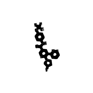 O=C(Nc1ccc(OC(F)(F)Cl)cc1)c1cnc(N2CCC(F)C2)c(-c2cccnn2)c1